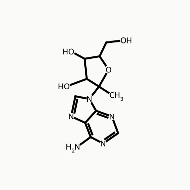 CC1(n2cnc3c(N)ncnc32)OC(CO)C(O)C1O